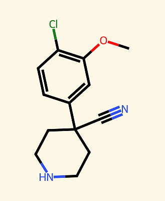 COc1cc(C2(C#N)CCNCC2)ccc1Cl